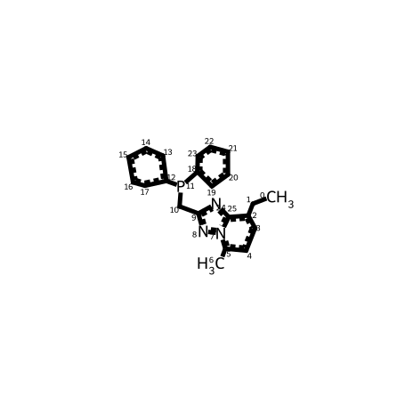 CCc1ccc(C)n2nc(CP(c3ccccc3)c3ccccc3)nc12